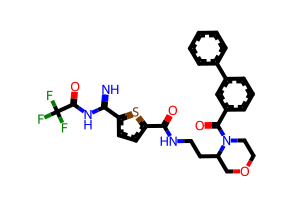 N=C(NC(=O)C(F)(F)F)c1ccc(C(=O)NCCC2COCCN2C(=O)c2cccc(-c3ccccc3)c2)s1